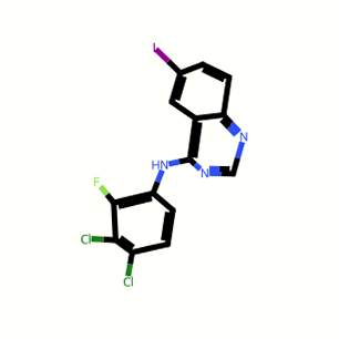 Fc1c(Nc2ncnc3ccc(I)cc23)ccc(Cl)c1Cl